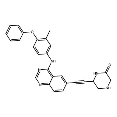 Cc1cc(Nc2ncnc3ccc(C#CC4CNCC(=O)N4)cc23)ccc1Oc1ccccc1